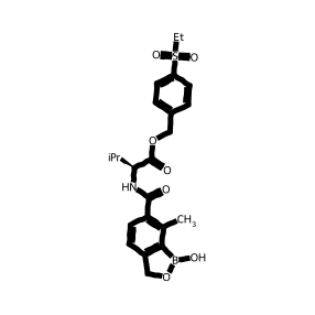 CCS(=O)(=O)c1ccc(COC(=O)[C@@H](NC(=O)c2ccc3c(c2C)B(O)OC3)C(C)C)cc1